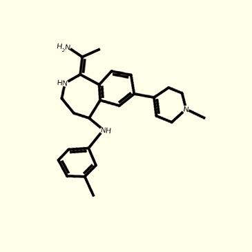 C/C(N)=C1/NCCC(Nc2cccc(C)c2)c2cc(C3=CCN(C)CC3)ccc21